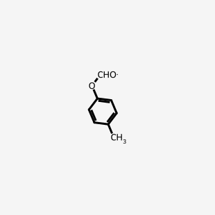 Cc1ccc(O[C]=O)cc1